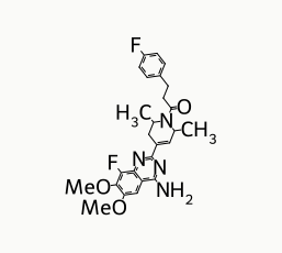 COc1cc2c(N)nc(C3=CC(C)N(C(=O)CCc4ccc(F)cc4)C(C)C3)nc2c(F)c1OC